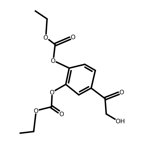 CCOC(=O)Oc1ccc(C(=O)CO)cc1OC(=O)OCC